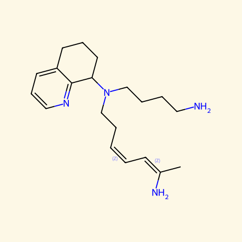 C/C(N)=C/C=C\CCN(CCCCN)C1CCCc2cccnc21